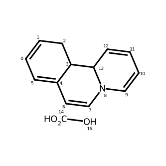 C1=CCC2C(=C1)C=CN1C=CC=CC21.O=C(O)O